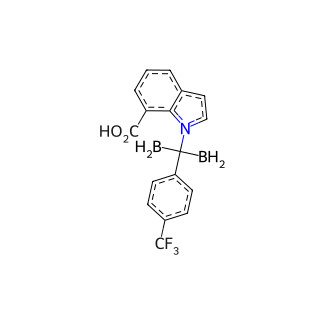 BC(B)(c1ccc(C(F)(F)F)cc1)n1ccc2cccc(C(=O)O)c21